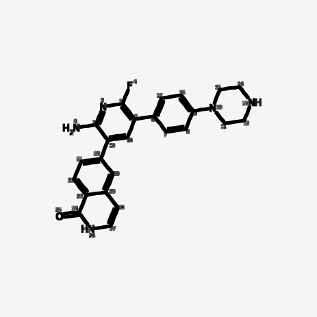 Nc1nc(F)c(-c2ccc(N3CCNCC3)cc2)cc1-c1ccc2c(=O)[nH]ccc2c1